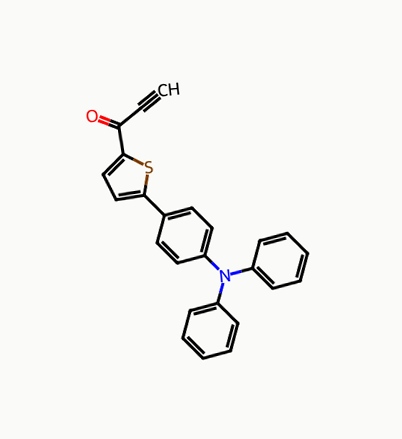 C#CC(=O)c1ccc(-c2ccc(N(c3ccccc3)c3ccccc3)cc2)s1